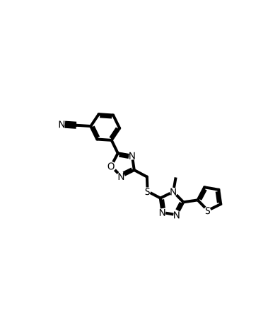 Cn1c(SCc2noc(-c3cccc(C#N)c3)n2)nnc1-c1cccs1